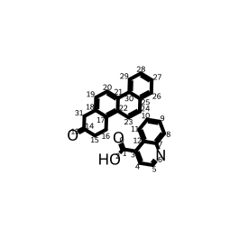 O=C(O)c1ccnc2ccccc12.O=C1CCc2c(ccc3c2ccc2ccccc23)C1